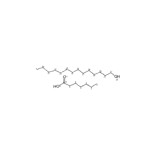 CCCCCCC(=O)O.CCCCCCCCCCCCCCO